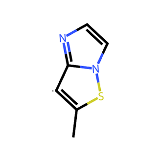 Cc1[c]c2nccn2s1